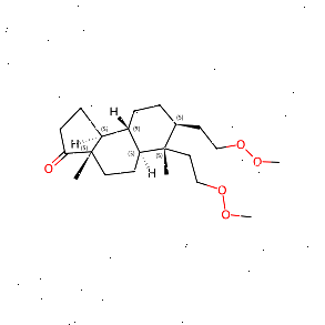 COOCC[C@@H]1CC[C@@H]2[C@H](CC[C@]3(C)C(=O)CC[C@@H]23)[C@@]1(C)CCOOC